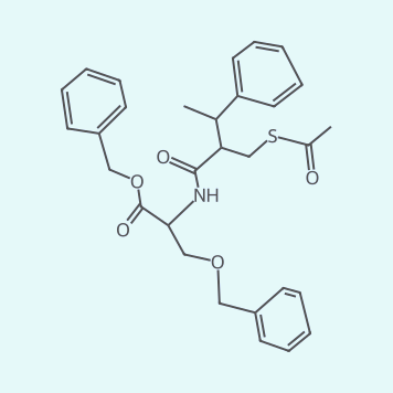 CC(=O)SCC(C(=O)NC(COCc1ccccc1)C(=O)OCc1ccccc1)C(C)c1ccccc1